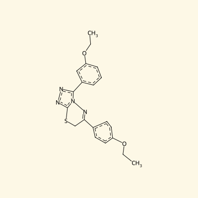 CCOc1ccc(C2=Nn3c(nnc3-c3cccc(OCC)c3)SC2)cc1